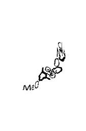 COc1cc(C)c(S(=O)(=O)N2CCCC(Oc3ccnc(Cl)n3)C2)c(C)c1